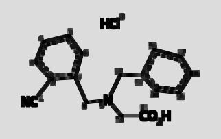 Cl.N#Cc1ccccc1CN(CC(=O)O)Cc1ccccc1